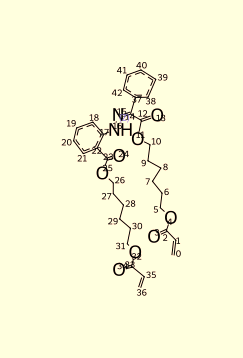 C=CC(=O)OCCCCCCOC(=O)/C(=N\Nc1ccccc1C(=O)OCCCCCCOC(=O)C=C)c1ccccc1